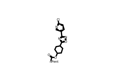 CCCCCC(=O)OC1CCC(c2nc(-c3ccc(Cl)nc3)no2)CC1